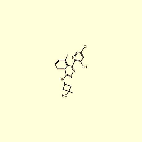 CC1(O)CC(Nc2nnc(-c3ncc(Cl)cc3O)c3c(F)cccc23)C1